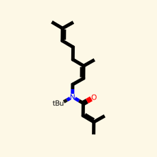 CC(C)=CCC/C(C)=C\CN(C(=O)C=C(C)C)C(C)(C)C